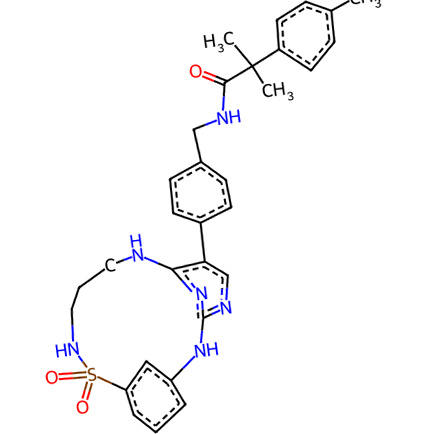 Cc1ccc(C(C)(C)C(=O)NCc2ccc(-c3cnc4nc3NCCCNS(=O)(=O)c3cccc(c3)N4)cc2)cc1